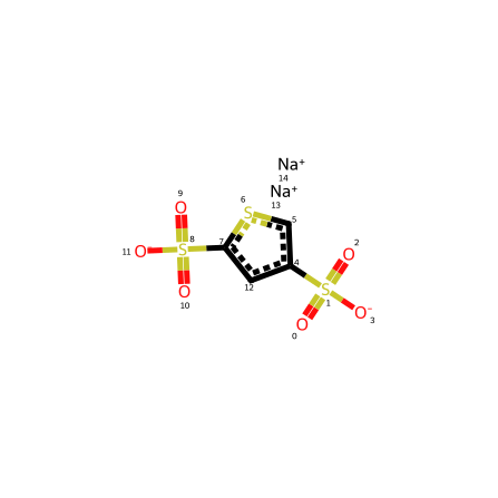 O=S(=O)([O-])c1csc(S(=O)(=O)[O-])c1.[Na+].[Na+]